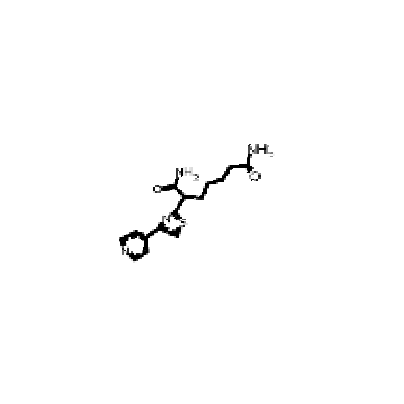 NC(=O)CCCCC(C(N)=O)c1nc(-c2ccncc2)cs1